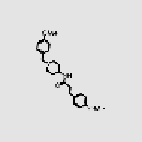 COc1ccc(/C=C/C(=O)NC2CCN(Cc3ccc(OC)cc3)CC2)cc1